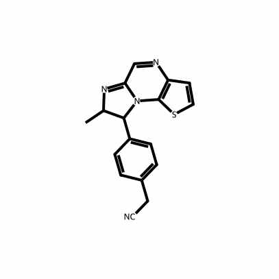 CC1N=C2C=Nc3ccsc3N2C1c1ccc(CC#N)cc1